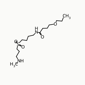 CCCOCCCC(=O)NCCCCS(=O)(=O)CCCNC